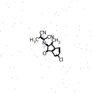 C=C1/C(=N\C(C#N)=C(/C)C#N)C(=O)c2cc(Cl)ccc21